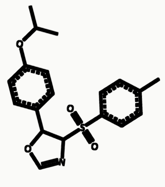 Cc1ccc(S(=O)(=O)C2N=COC2c2ccc(OC(C)C)cc2)cc1